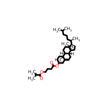 C=C(C)C(=O)OCCCC(=O)OC1CC[C@@]2(C)C(=CC[C@H]3[C@@H]4CC[C@H]([C@H](C)CCCC(C)C)[C@@]4(C)CC[C@@H]32)C1